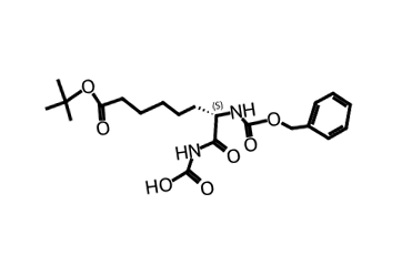 CC(C)(C)OC(=O)CCCCC[C@H](NC(=O)OCc1ccccc1)C(=O)NC(=O)O